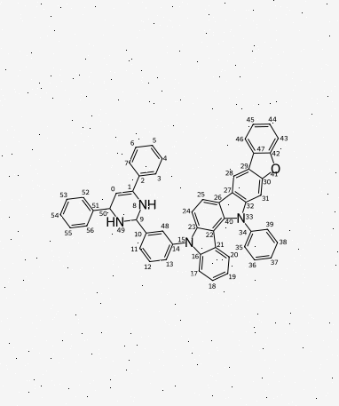 C1=C(c2ccccc2)NC(c2cccc(-n3c4ccccc4c4c3ccc3c5cc6c(cc5n(-c5ccccc5)c34)oc3ccccc36)c2)NC1c1ccccc1